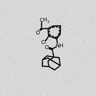 CC(=O)c1cccc(NC(=O)C23CC4CC(CC(C4)C2)C3)c1Cl